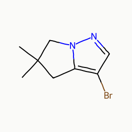 CC1(C)Cc2c(Br)cnn2C1